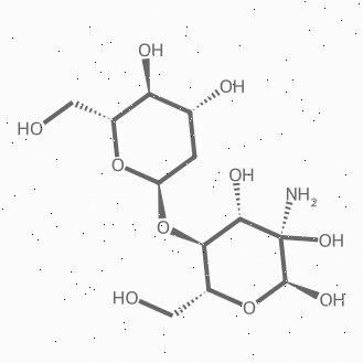 N[C@]1(O)[C@@H](O)O[C@H](CO)[C@@H](O[C@@H]2C[C@@H](O)[C@H](O)[C@@H](CO)O2)[C@@H]1O